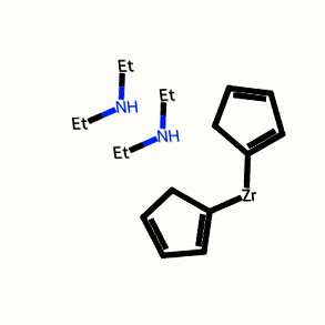 C1=CC[C]([Zr][C]2=CC=CC2)=C1.CCNCC.CCNCC